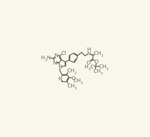 COc1c(C)cnc(Cn2cc(-c3ccc(CCN[C@@H](C)C(=O)OC(C)(C)C)cc3)c3c(Cl)nc(N)nc32)c1C